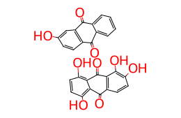 O=C1c2ccc(O)c(O)c2C(=O)c2c(O)ccc(O)c21.O=C1c2ccccc2C(=O)c2cc(O)ccc21